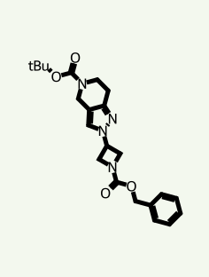 CC(C)(C)OC(=O)N1CCc2nn(C3CN(C(=O)OCc4ccccc4)C3)cc2C1